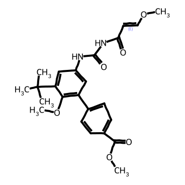 CO/C=C/C(=O)NC(=O)Nc1cc(-c2ccc(C(=O)OC)cc2)c(OC)c(C(C)(C)C)c1